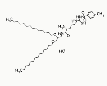 CCCCCCCCCCCCCCOCC(CNC(=O)C(N)CCCNC(=N)NS(=O)(=O)c1ccc(C)cc1)OCCCCCCCCCCCCCC.Cl